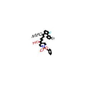 CCc1cccc(-c2c(F)cccc2C(CCCC(O)C2CCN(C(=O)OCc3ccccc3)CC2)OC)c1